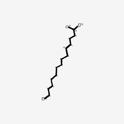 ClCCCCCCCCCCCCCC(Cl)Cl